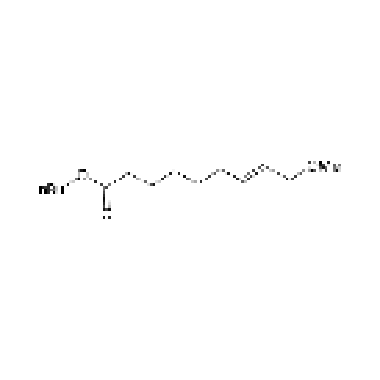 CCCCOC(=O)CCCCCC=CCOC